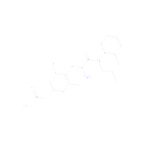 Cc1cc(OC(=O)OCC(C)C)cc(Br)c1CC(N)C(=O)N1CC(C)Cc2ccccc21